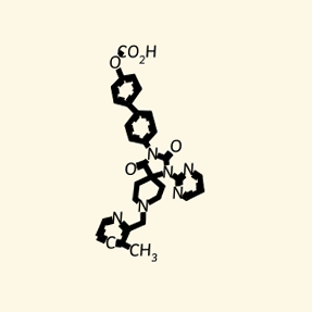 Cc1cccnc1CN1CCC2(CC1)C(=O)N(c1ccc(-c3ccc(OC(=O)O)cc3)cc1)C(=O)N2c1ncccn1